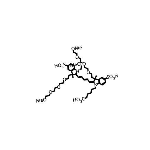 COCCOCCOCCOCCC1(C)C(/C=C/C=C/C=C2/N(CCCCCC(=O)O)c3ccc(S(=O)(=O)O)cc3C2(C)CCOCCOCCOCCOC)=[N+](CCOC)c2ccc(S(=O)(=O)O)cc21